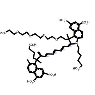 C=C(/C=C/C=C/C=C/C=C1/N(CCCCCC(=O)O)c2ccc3c(S(=O)(=O)O)cc(S(=O)(=O)O)cc3c2C1(C)CCOCCOCCOCCOCCOC)C(C)(CCCS(=O)(=O)O)c1c(C)ccc2c(S(=O)(=O)O)cc(S(=O)(=O)O)cc12